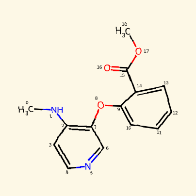 CNc1ccncc1Oc1ccccc1C(=O)OC